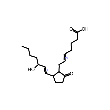 CCCCC(O)/C=C/C1CCC(=O)C1C/C=C/CCCC(=O)O